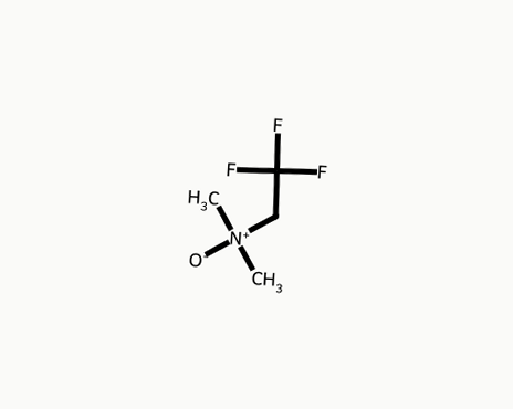 C[N+](C)([O-])CC(F)(F)F